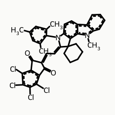 Cc1cc(C)c(N2/C(=C\C=C3C(=O)c4c(Cl)c(Cl)c(Cl)c(Cl)c4C3=O)C3(CCCCC3)c3c2ccc2c4ccccc4n(C)c32)c(C)c1